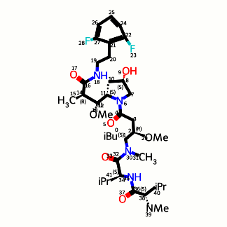 CC[C@H](C)C([C@@H](CC(=O)N1C[C@@H](O)C[C@H]1[C@H](OC)[C@@H](C)C(=O)NCCc1c(F)cccc1F)OC)N(C)C(=O)[C@@H](NC(=O)[C@@H](NC)C(C)C)C(C)C